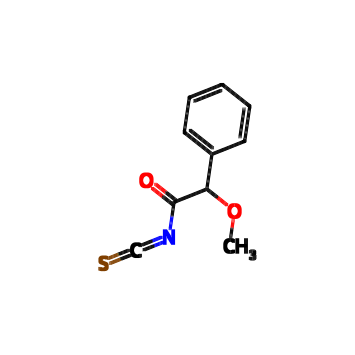 COC(C(=O)N=C=S)c1ccccc1